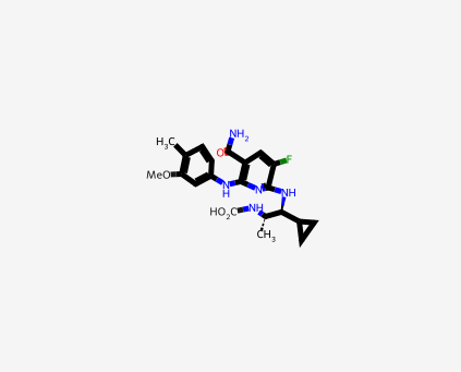 COc1cc(Nc2nc(N[C@@H](C3CC3)[C@H](C)NC(=O)O)c(F)cc2C(N)=O)ccc1C